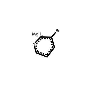 Brc1cccnc1.[MgH2]